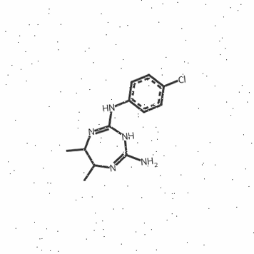 CC1N=C(N)NC(Nc2ccc(Cl)cc2)=NC1C